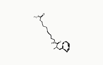 CC(Cc1ccccc1)C(=O)NCCCCCCCCC(N)=O